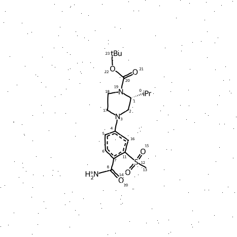 CC(C)[C@@H]1CN(c2ccc(C(N)=O)c(S(C)(=O)=O)c2)CCN1C(=O)OC(C)(C)C